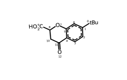 CC(C)(C)c1ccc2c(c1)OC(C(=O)O)CC2=O